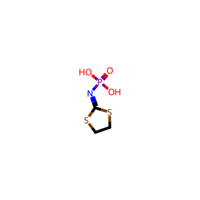 O=P(O)(O)N=C1SCCS1